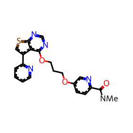 CNC(=O)c1ccc(OCCCOc2ncnc3scc(-c4ccccn4)c23)cn1